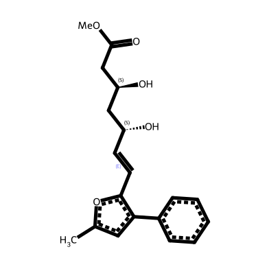 COC(=O)C[C@@H](O)C[C@H](O)/C=C/c1oc(C)cc1-c1ccccc1